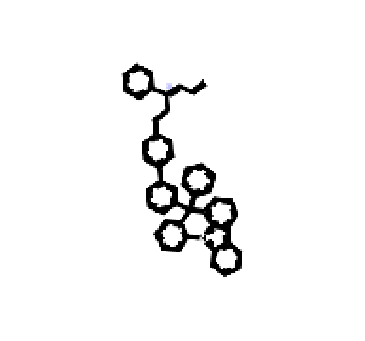 C=C/C=C(\CCc1ccc(-c2cccc(C3(c4ccccc4)c4ccccc4-n4c5ccccc5c5cccc3c54)c2)cc1)c1ccccc1